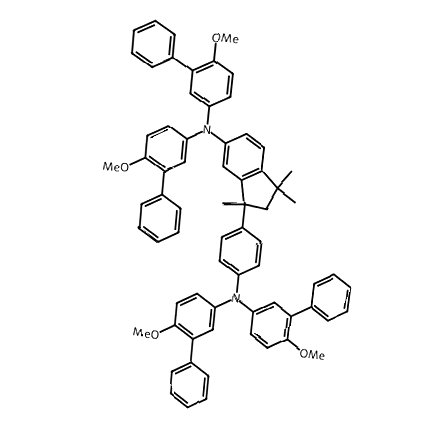 COc1ccc(N(c2ccc(C3(C)CC(C)(C)c4ccc(N(c5ccc(OC)c(-c6ccccc6)c5)c5ccc(OC)c(-c6ccccc6)c5)cc43)cc2)c2ccc(OC)c(-c3ccccc3)c2)cc1-c1ccccc1